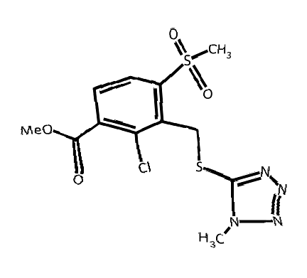 COC(=O)c1ccc(S(C)(=O)=O)c(CSc2nnnn2C)c1Cl